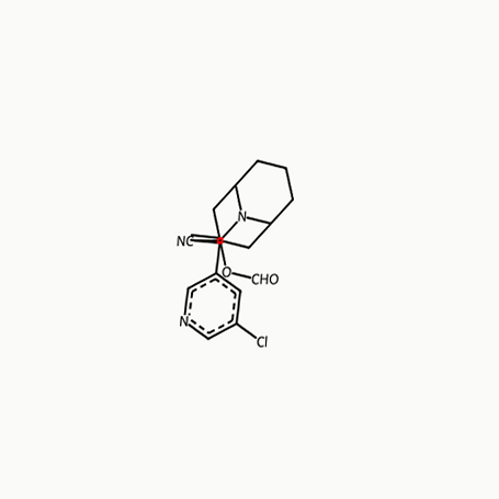 C=C(OC=O)N1C2CCCC1CC(C#N)(c1cncc(Cl)c1)C2